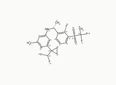 Cc1cc(N[C@H](C)c2cccc(S(=O)(=O)C(C)(F)F)c2F)cc(C2(C(F)F)CC2)n1